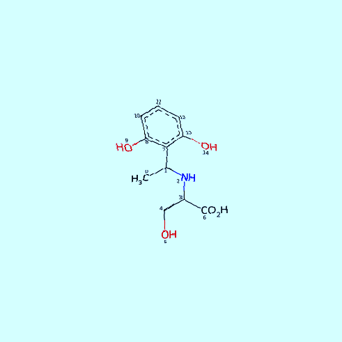 CC(NC(CO)C(=O)O)c1c(O)cccc1O